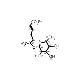 CCOC(=O)/C=C/CC[C@@H](C)O[C@@H]1O[C@@H](C)C(O)[C@@H](O)[C@H]1O